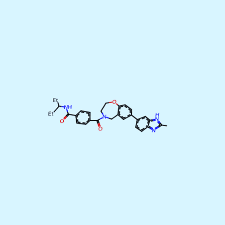 CCC(CC)NC(=O)c1ccc(C(=O)N2CCOc3ccc(-c4ccc5nc(C)[nH]c5c4)cc3C2)cc1